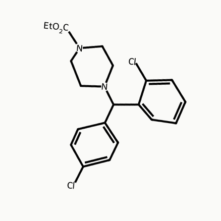 CCOC(=O)N1CCN(C(c2ccc(Cl)cc2)c2ccccc2Cl)CC1